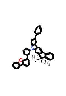 CC1(C)c2ccccc2-c2cc3c4cc(-c5ccccc5)ccc4n(-c4cccc(-c5cccc6c5oc5ccccc56)c4)c3cc21